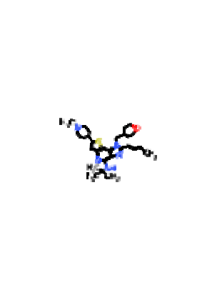 CCCCc1nc2c(NC(C)(C)C)nc3cc(C4CCN(C)CC4)sc3c2n1CC1CCOCC1